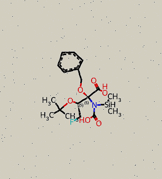 C[SiH](C)N(C(=O)O)[C@@](OCc1ccccc1)(C(=O)O)[C@@H](CF)OC(C)(C)C